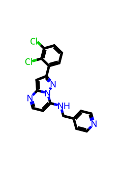 Clc1cccc(-c2cc3nccc(NCc4ccncc4)n3n2)c1Cl